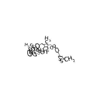 C=C1C=C(c2ccc(OC(=O)CC3=C(C)/C(=C/c4ccc([S+](C)[O-])cc4)c4cc(OC(=O)CC(CC)O[N+](=O)[O-])c(F)cc43)cc2)SS1